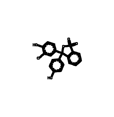 O=S1(=O)OC(c2ccc(O)cc2)(c2ccc(O)c(Cl)c2)c2ccccc21